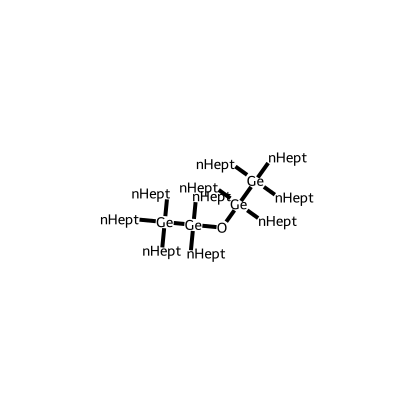 CCCCCC[CH2][Ge]([CH2]CCCCCC)([CH2]CCCCCC)[Ge]([CH2]CCCCCC)([CH2]CCCCCC)[O][Ge]([CH2]CCCCCC)([CH2]CCCCCC)[Ge]([CH2]CCCCCC)([CH2]CCCCCC)[CH2]CCCCCC